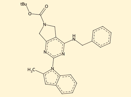 Cc1cc2ccccc2n1-c1nc2c(c(NCc3ccccc3)n1)CN(C(=O)OC(C)(C)C)C2